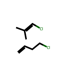 C=CCCCl.CC(C)=CCl